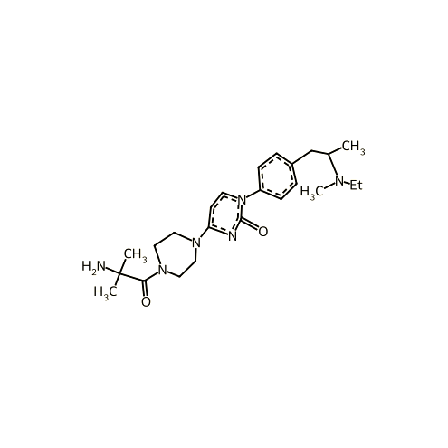 CCN(C)C(C)Cc1ccc(-n2ccc(N3CCN(C(=O)C(C)(C)N)CC3)nc2=O)cc1